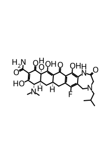 CC(C)CN1CC(=O)Nc2c(O)c3c(c(F)c2C1)C[C@H]1C[C@H]2[C@H](N(C)C)C(O)=C(C(N)=O)C(=O)[C@@]2(O)C(O)=C1C3=O